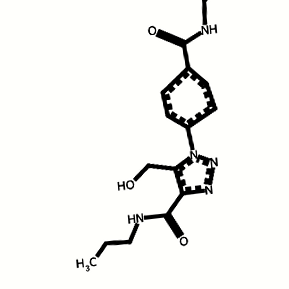 CCCNC(=O)c1nnn(-c2ccc(C(=O)NCC)cc2)c1CO